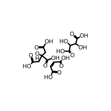 O=C(O)/C=C\C(=O)O.O=C(O)C(O)C(O)C(=O)O.O=C(O)CC(O)(CC(=O)O)C(=O)O